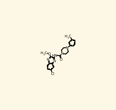 COc1nc2ccc(Cl)cc2nc1NC(=O)N1CCN(c2cccc(C)c2)CC1